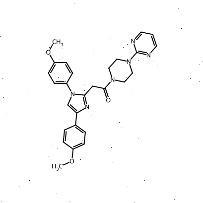 COc1ccc(-c2cn(-c3ccc(OC)cc3)c(CC(=O)N3CCN(c4ncccn4)CC3)n2)cc1